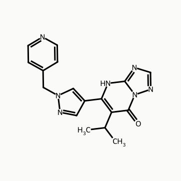 CC(C)c1c(-c2cnn(Cc3ccncc3)c2)[nH]c2ncnn2c1=O